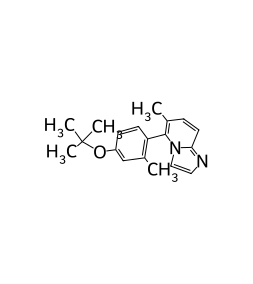 Cc1cc(OC(C)(C)C)ccc1-c1c(C)ccc2nccn12